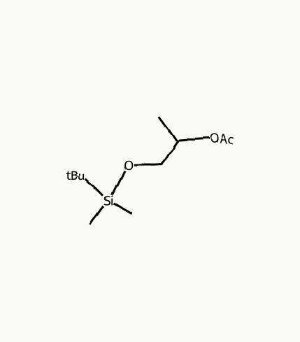 CC(=O)OC(C)CO[Si](C)(C)C(C)(C)C